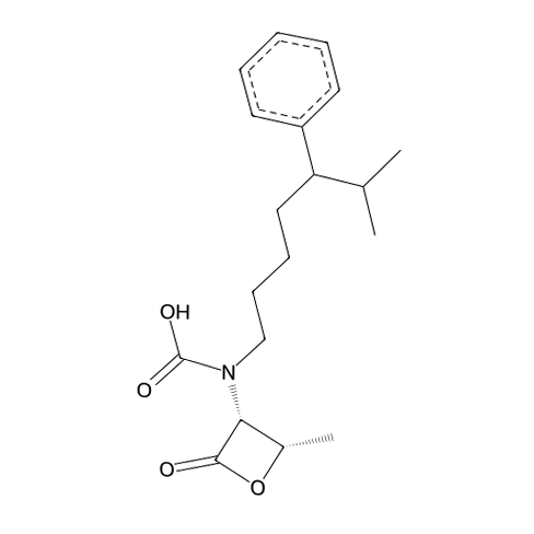 CC(C)C(CCCCN(C(=O)O)[C@H]1C(=O)O[C@H]1C)c1ccccc1